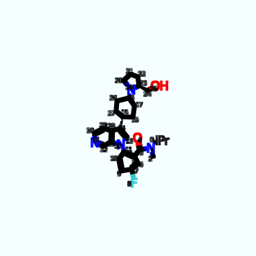 CC(C)N(C)C(=O)c1cc(F)ccc1-n1cc([C@H]2CC[C@H](N3CCC[C@H]3CO)CC2)c2ccncc21